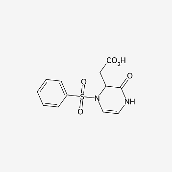 O=C(O)CC1C(=O)NC=CN1S(=O)(=O)c1ccccc1